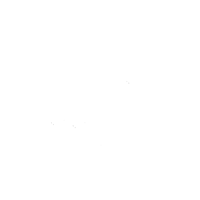 CCNC(=O)NC(=O)C(C)Oc1ccc(Oc2ncc(C(F)(F)F)cc2Cl)cc1